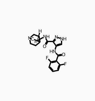 O=C(N[C@H]1CN2CCC1CC2)c1n[nH]cc1NC(=O)c1c(F)cccc1F